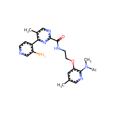 CC(=O)N(C)c1ncc(C)cc1OCCNC(=O)c1ncc(C)c(-c2ccncc2P)n1